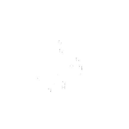 Cc1ncc(Cl)cc1C(=O)N[C@H]1CC[C@H](Cn2c(=O)n(-c3ccc4cncnc4c3)c3ccccc32)CC1